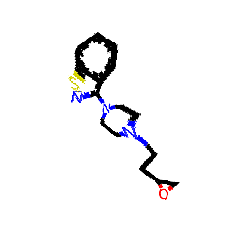 c1ccc2c(N3CCN(CCC4CO4)CC3)nsc2c1